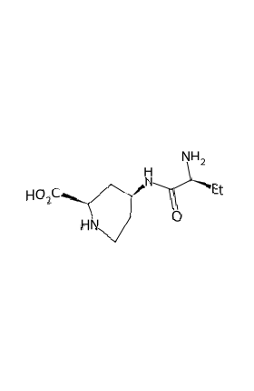 CC[C@H](N)C(=O)N[C@H]1CCN[C@@H](C(=O)O)C1